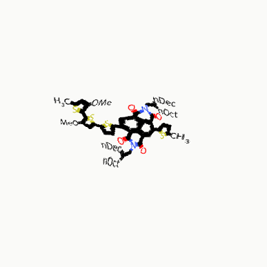 CCCCCCCCCCC(CCCCCCCC)CN1C(=O)c2cc(-c3ccc(-c4cc(OC)c(-c5sc(C)cc5OC)s4)s3)c3c4c(cc(-c5ccc(C)s5)c(c24)C1=O)C(=O)N(CC(CCCCCCCC)CCCCCCCCCC)C3=O